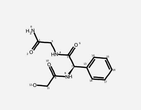 NC(=O)CNC(=O)[C@H](NC(=O)C[O])c1ccccc1